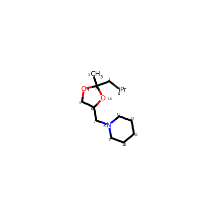 CC(C)CC1(C)OCC(CN2CCCCC2)O1